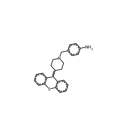 Nc1ccc(CN2CCC(=C3c4ccccc4Sc4ccccc43)CC2)cc1